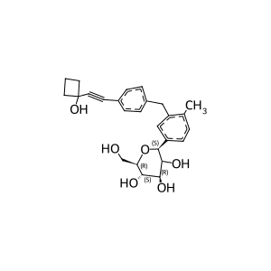 Cc1ccc([C@@H]2O[C@H](CO)[C@@H](O)[C@H](O)C2O)cc1Cc1ccc(C#CC2(O)CCC2)cc1